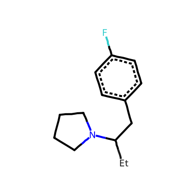 CCC(Cc1ccc(F)cc1)N1CCCC1